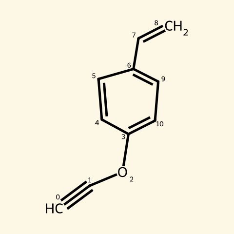 C#COc1ccc(C=C)cc1